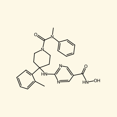 Cc1ccccc1C1(Nc2ncc(C(=O)NO)cn2)CCN(C(=O)N(C)c2ccccc2)CC1